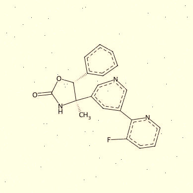 C[C@]1(c2cncc(-c3ncccc3F)c2)NC(=O)O[C@@H]1c1ccccc1